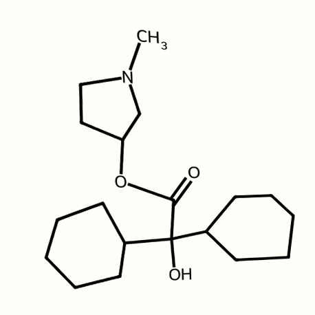 CN1CCC(OC(=O)C(O)(C2CCCCC2)C2CCCCC2)C1